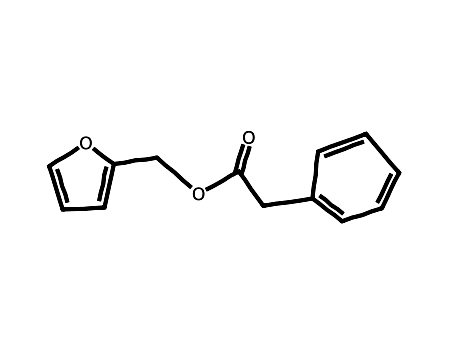 O=C(Cc1ccccc1)OCc1ccco1